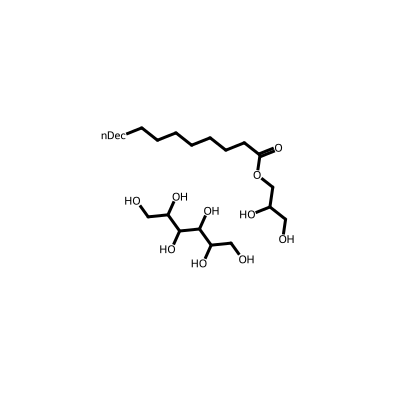 CCCCCCCCCCCCCCCCCC(=O)OCC(O)CO.OCC(O)C(O)C(O)C(O)CO